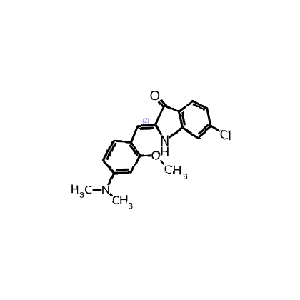 COc1cc(N(C)C)ccc1/C=C1\Nc2cc(Cl)ccc2C1=O